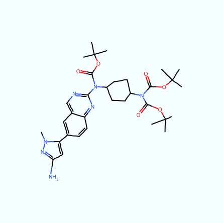 Cn1nc(N)cc1-c1ccc2nc(N(C(=O)OC(C)(C)C)C3CCC(N(C(=O)OC(C)(C)C)C(=O)OC(C)(C)C)CC3)ncc2c1